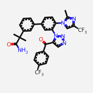 Cc1nc(C(F)(F)F)cn1-c1ccc(-c2cccc(C(C)(C)C(N)=O)c2)cc1-n1nncc1C(=O)c1ccc(C(F)(F)F)cc1